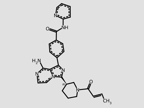 CC=CC(=O)N1CCC[C@@H](c2nc(-c3ccc(C(=O)Nc4ccccn4)cc3)c3c(N)nccn23)C1